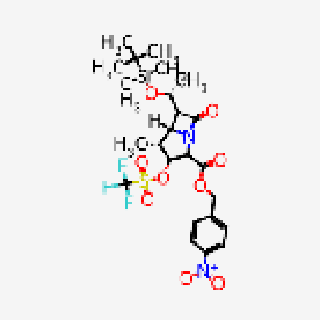 C[C@@H](O[Si](C)(C)C(C)(C)C)[C@H]1C(=O)N2C(C(=O)OCc3ccc([N+](=O)[O-])cc3)C(OS(=O)(=O)C(F)(F)F)[C@H](C)[C@H]12